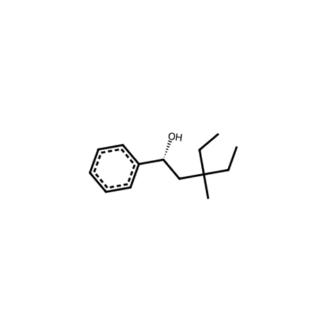 CCC(C)(CC)C[C@@H](O)c1ccccc1